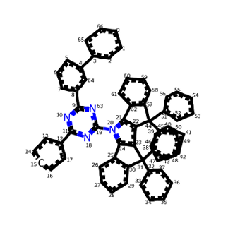 c1ccc(-c2cccc(-c3nc(-c4ccccc4)nc(-n4c5c(c6c4-c4ccccc4C6(c4ccccc4)c4ccccc4)C(c4ccccc4)(c4ccccc4)c4ccccc4-5)n3)c2)cc1